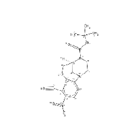 CC(C)(C)OC(=O)N1CCN2C[C@H]1COc1c2ccc([N+](=O)[O-])c1C#N